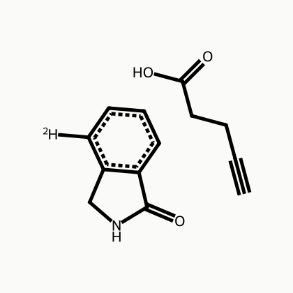 C#CCCC(=O)O.[2H]c1cccc2c1CNC2=O